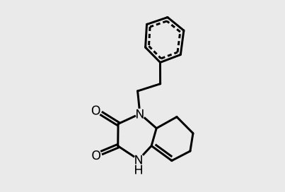 O=C1NC2=CCCCC2N(CCc2ccccc2)C1=O